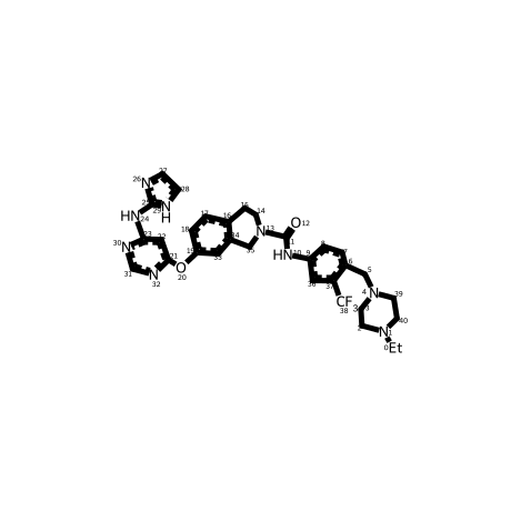 CCN1CCN(Cc2ccc(NC(=O)N3CCc4ccc(Oc5cc(Nc6ncc[nH]6)ncn5)cc4C3)cc2C(F)(F)F)CC1